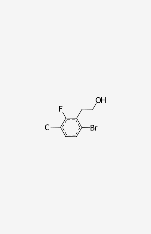 OCCc1c(Br)ccc(Cl)c1F